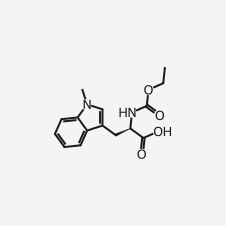 CCOC(=O)N[C@H](Cc1cn(C)c2ccccc12)C(=O)O